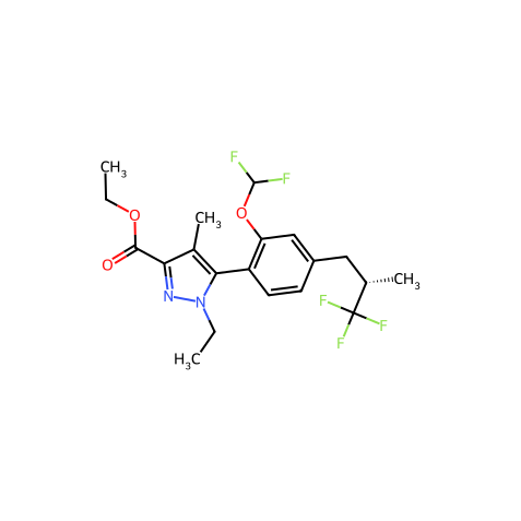 CCOC(=O)c1nn(CC)c(-c2ccc(C[C@H](C)C(F)(F)F)cc2OC(F)F)c1C